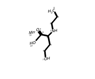 CCCNC(CCO)C(=O)O.[Mn]